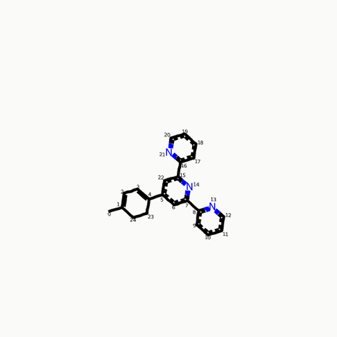 CC1=CC=C(c2cc(-c3ccccn3)nc(-c3ccccn3)c2)CC1